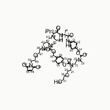 CC(C)[C@@H](C(=O)N[C@@H](C)C(=O)Nc1ccc(COC(=O)N(C)CCN(CCOCCO)C(=O)Oc2ccc(COC(=O)N(C)CCN(C)CCOCCN3C(=O)C=CC3=O)cc2)cc1)N(C)C